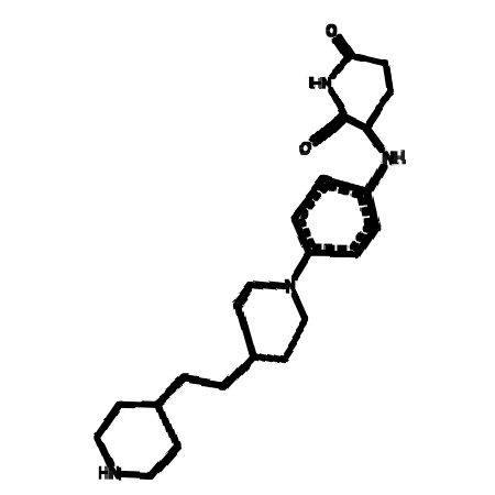 O=C1CCC(Nc2ccc(N3CCC(CCC4CCNCC4)CC3)cc2)C(=O)N1